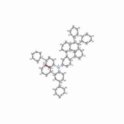 c1ccc(-c2ccc(N(c3ccc(-c4cccc5c(-c6ccccc6)c(-c6ccccc6)c6ccccc6c45)cc3)c3ccc(-c4ccccc4)cc3-c3ccccc3)cc2)cc1